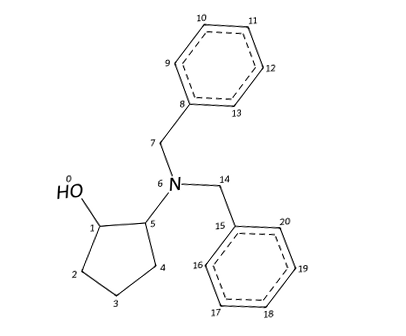 OC1CCCC1N(Cc1ccccc1)Cc1ccccc1